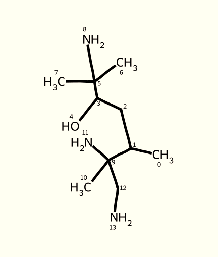 CC(CC(O)C(C)(C)N)C(C)(N)CN